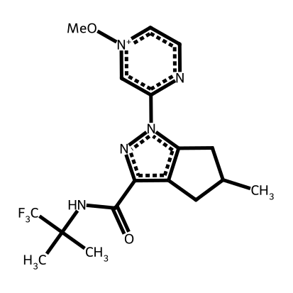 CO[n+]1ccnc(-n2nc(C(=O)NC(C)(C)C(F)(F)F)c3c2CC(C)C3)c1